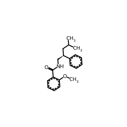 COc1ccccc1C(=O)NC[C@@H](CC(C)C)c1ccccc1